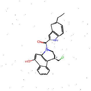 CCc1ccc2[nH]c(C(=O)N3C[C@@H](CCl)c4c3cc(O)c3ccccc43)cc2c1